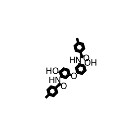 Cc1ccc(C(=O)Nc2cc(Oc3ccc(O)c(NC(=O)c4ccc(C)cc4)c3)ccc2O)cc1